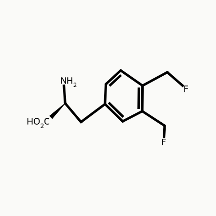 N[C@@H](Cc1ccc(CF)c(CF)c1)C(=O)O